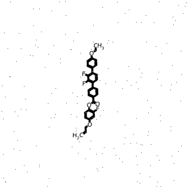 C=CCOc1ccc(OC(=O)c2ccc(-c3ccc(-c4ccc(OCC)cc4)c(F)c3F)cc2)c(F)c1